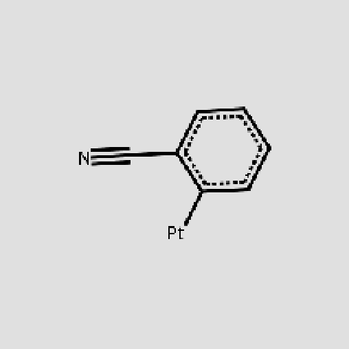 N#Cc1cccc[c]1[Pt]